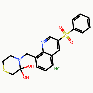 Cl.O=S(=O)(c1ccccc1)c1cnc2c(CN3CCSCC3(O)O)cccc2c1